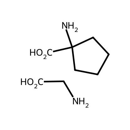 NC1(C(=O)O)CCCC1.NCC(=O)O